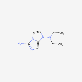 CCN(CC)n1ccn2c(N)ncc12